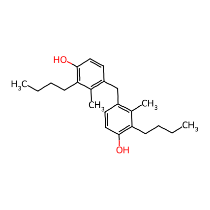 CCCCc1c(O)ccc(Cc2ccc(O)c(CCCC)c2C)c1C